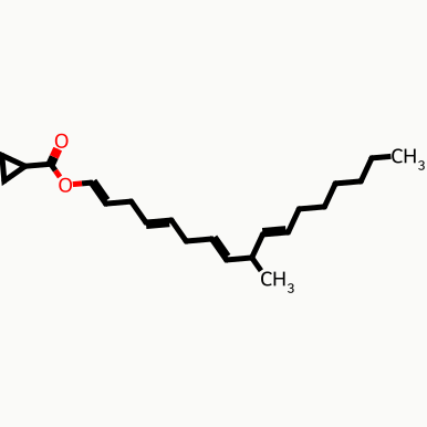 CCCCCCC=CC(C)C=CCC=CCC=COC(=O)C1CC1